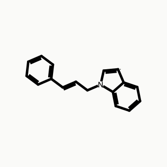 [c]1cn(CC=Cc2ccccc2)c2ccccc12